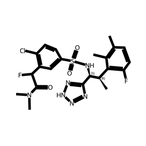 Cc1ccc(F)c([C@@H](C)[C@H](NS(=O)(=O)c2ccc(Cl)c(C(F)C(=O)N(C)C)c2)c2nn[nH]n2)c1C